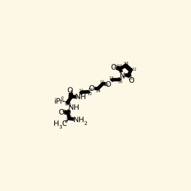 CC(C)[C@@H](NC(=O)[C@@H](C)N)C(=O)NCCOCCOCCN1C(=O)C=CC1=O